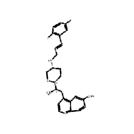 COc1ccc2nccc(C[C@@H](N)[C@@H]3CC[C@@H](NCC=Cc4cc(F)ccc4F)CO3)c2c1